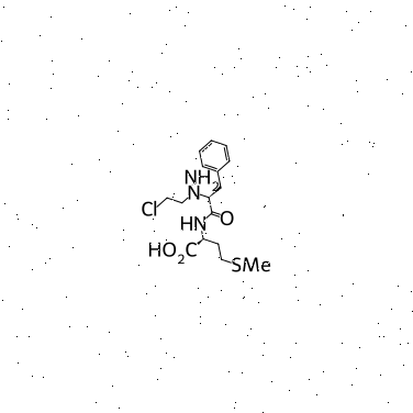 CSCC[C@H](NC(=O)[C@H](Cc1ccccc1)N(N)CCCl)C(=O)O